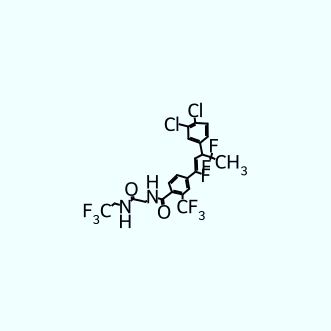 CC(F)(F)C(/C=C(\F)c1ccc(C(=O)NCC(=O)NCC(F)(F)F)c(C(F)(F)F)c1)c1ccc(Cl)c(Cl)c1